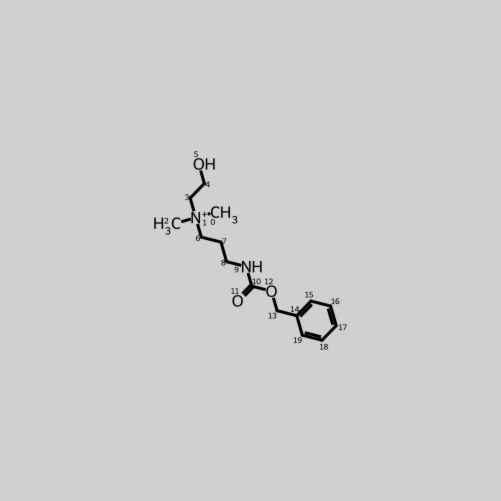 C[N+](C)(CCO)CCCNC(=O)OCc1ccccc1